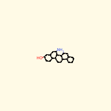 Nc1cc2cc(O)ccc2c2ccc3c4ccccc4ccc3c12